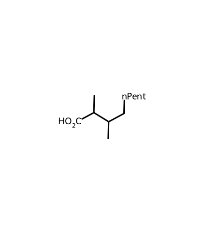 CCCCCCC(C)C(C)C(=O)O